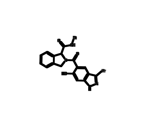 CCNC(=O)C1c2ccccc2CN1C(=O)c1cc2c(C(C)C)n[nH]c2cc1O